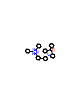 c1ccc(-c2nc(-c3ccccc3)nc(-c3cccc(-c4cccc(N5c6ccccc6-c6oc7ccccc7c6-c6ccccc65)c4)c3)n2)cc1